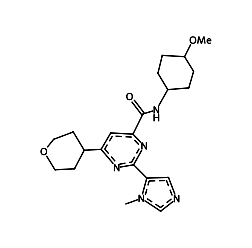 COC1CCC(NC(=O)c2cc(C3CCOCC3)nc(-c3cncn3C)n2)CC1